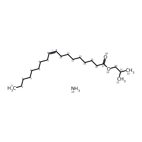 CCCCCCCC/C=C\CCCCCCCC(=O)OCC(C)C.N